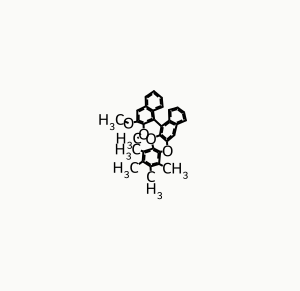 COc1cc2ccccc2c(-c2c3c(cc4ccccc24)Oc2c(C)c(C)c(C)c(C)c2O3)c1OC